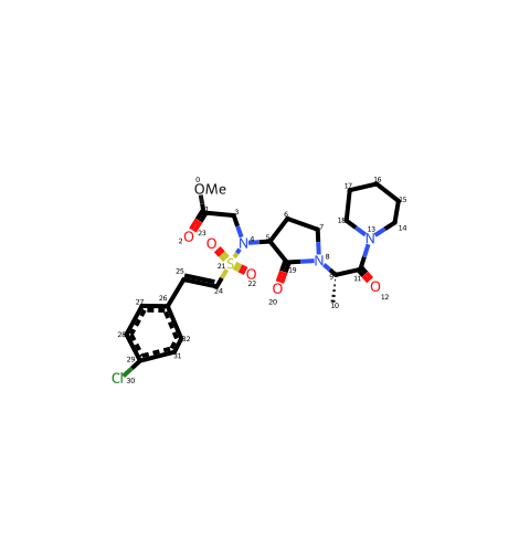 COC(=O)CN(C1CCN([C@@H](C)C(=O)N2CCCCC2)C1=O)S(=O)(=O)C=Cc1ccc(Cl)cc1